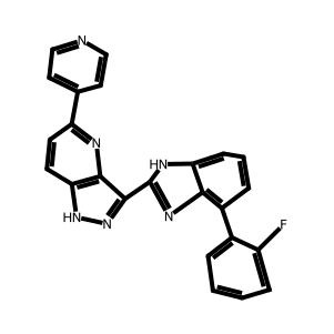 Fc1ccccc1-c1cccc2[nH]c(-c3n[nH]c4ccc(-c5ccncc5)nc34)nc12